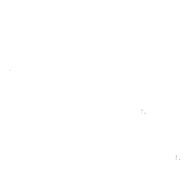 O=C(c1ccc(Cl)cc1)C1CCN(C2CCNCC2)CC1